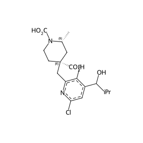 CC(C)C(O)c1cc(Cl)nc(C[C@@]2(C(=O)O)CCN(C(=O)O)[C@H](C)C2)c1F